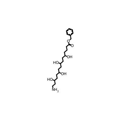 NCCC(O)CCC(O)CCC(O)CCC(O)CCCC(=O)OCc1ccccc1